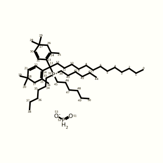 CCCCCCCCCCCCCC(C1=C(C)CC(C)(C)C=C1)(C1=C(C)CC(C)(C)C=C1)[P+](CCCCCC)(CCCCCC)CCCCCC.O=[PH2][O-]